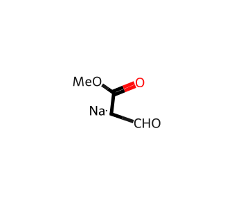 COC(=O)CC=O.[Na]